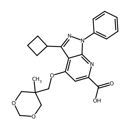 CC1(COc2cc(C(=O)O)nc3c2c(C2CCC2)nn3-c2ccccc2)COCOC1